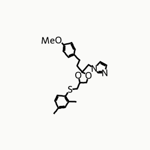 COc1ccc(CCC2(Cn3ccnc3)OCC(CSc3ccc(C)cc3C)O2)cc1